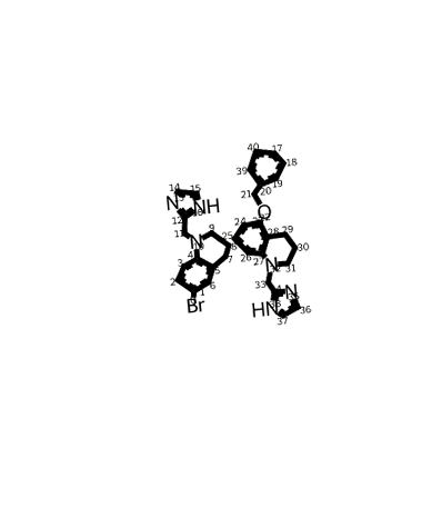 Brc1ccc2c(c1)CCCN2Cc1ncc[nH]1.c1ccc(COc2cccc3c2CCCN3Cc2ncc[nH]2)cc1